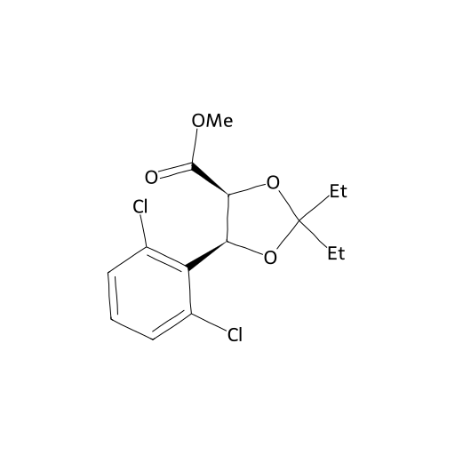 CCC1(CC)O[C@H](C(=O)OC)[C@H](c2c(Cl)cccc2Cl)O1